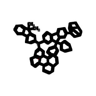 CC1(C)c2ccccc2-c2ccc(N(c3cccc(-c4cccc5cccc(-c6ccccc6)c45)c3)c3ccc4c(c3)C(c3ccccc3)(c3ccccc3)c3cc(C56CC7CC(CC(C7)C5)C6)ccc3-4)cc21